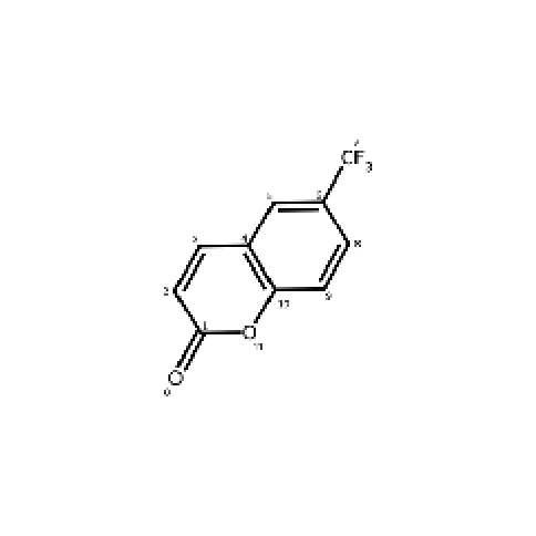 O=c1ccc2cc(C(F)(F)F)ccc2o1